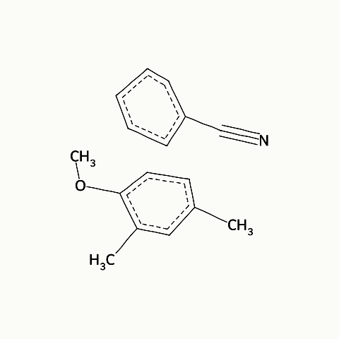 COc1ccc(C)cc1C.N#Cc1ccccc1